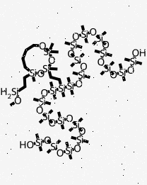 CO[SiH2]CC[Si]1(C)CCCCO[Si](C)(C)O[Si](C)(CC[Si](C)([Si](C)(C)O[Si](C)(C)O[Si](C)(C)O[Si](C)(C)O[Si](C)(C)O[Si](C)(C)O[Si](C)(C)O[Si](C)(C)O[Si](C)(C)O)[Si](C)(C)O[Si](C)(C)O[Si](C)(C)O[Si](C)(C)O[Si](C)(C)O[Si](C)(C)O[Si](C)(C)O[Si](C)(C)O[Si](C)(C)O[Si](C)(C)O)O1